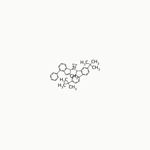 CC1=Cc2c(-c3ccccc3)cccc2[CH]1[Zr]1([CH]2c3cc(C(C)(C)C)ccc3-c3ccc(C(C)(C)C)cc32)[CH2][CH2]1